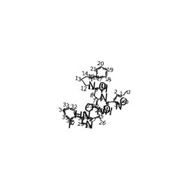 Cc1cc(C(=O)NC(CC(=O)N2CCC[C@H]2c2ccccc2)C(=O)NC(C)c2ncc(-c3ccccc3F)[nH]2)no1